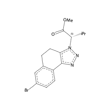 COC(=O)[C@H](C(C)C)n1nnc2c1CCc1cc(Br)ccc1-2